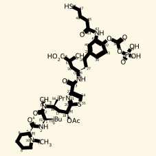 CC[C@H](C)[C@H](NC(=O)[C@H]1CCCCN1C)C(=O)N(C)[C@H](C[C@@H](OC(C)=O)c1nc(C(=O)N[C@@H](CCc2ccc(OC(=O)OP(=O)(O)O)c(NC(=O)CCCS)c2)CC(C)C(=O)O)cs1)C(C)C